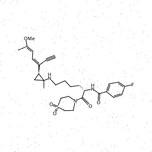 C#C/C(=C\C=C(/C)OC)[C@@H]1CC1(C)NCCCC[C@H](NC(=O)c1ccc(F)cc1)C(=O)N1CCS(=O)(=O)CC1